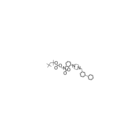 CC(C)(C)CC(C)(C)OC(=O)OCn1c(=O)oc2c(N3CCN(Cc4cccc(-c5ccccc5)c4)CC3)cccc21